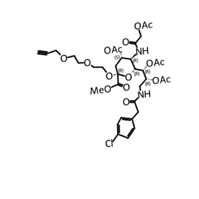 C#CCOCCOCCO[C@]1(C(=O)OC)C[C@H](OC(C)=O)[C@@H](NC(=O)COC(C)=O)[C@H]([C@H](OC(C)=O)[C@@H](CNC(=O)Cc2ccc(Cl)cc2)OC(C)=O)O1